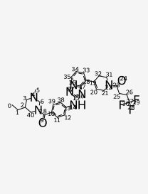 CCC1CN(C)CN(C(=O)c2ccc(Nc3nc4c(C5=CCN(C(=O)CCC(F)(F)F)CC5)cccn4n3)cc2)C1